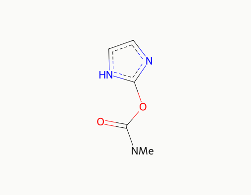 CNC(=O)Oc1ncc[nH]1